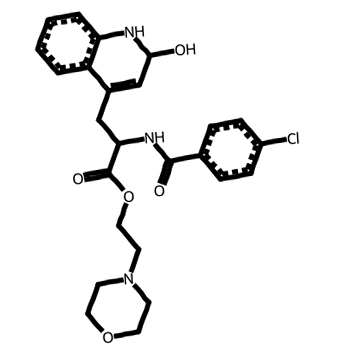 O=C(NC(CC1=CC(O)Nc2ccccc21)C(=O)OCCN1CCOCC1)c1ccc(Cl)cc1